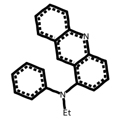 CCN(c1ccccc1)c1cccc2nc3ccccc3cc12